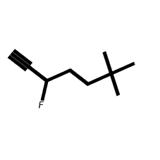 C#CC(F)CCC(C)(C)C